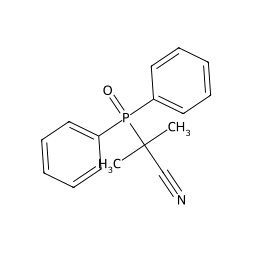 CC(C)(C#N)P(=O)(c1ccccc1)c1ccccc1